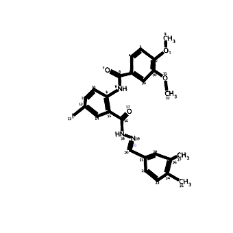 COc1ccc(C(=O)Nc2ccc(I)cc2C(=O)N/N=C/c2ccc(C)c(C)c2)cc1OC